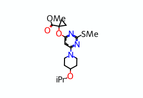 COC(=O)C1(Oc2cc(N3CCC(OC(C)C)CC3)nc(SC)n2)CC1